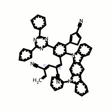 C=C/C(C#N)=C\C(C#N)=C/c1cc(-c2nc(-c3ccccc3)nc(-c3ccccc3)n2)cc(C2=CC(C#N)=CC2)c1-n1c2ccccc2c2cc3c4ccccc4n(-c4ccccc4)c3cc21